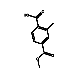 COC(=O)c1ccc(C(=O)O)c(C)c1